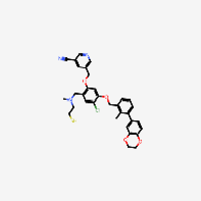 Cc1c(COc2cc(OCc3cncc(C#N)c3)c(CN(C)CCS)cc2Cl)cccc1-c1ccc2c(c1)OCCO2